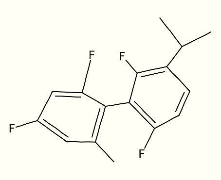 Cc1cc(F)cc(F)c1-c1c(F)ccc(C(C)C)c1F